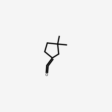 CC1(C)CCC(=C=O)C1